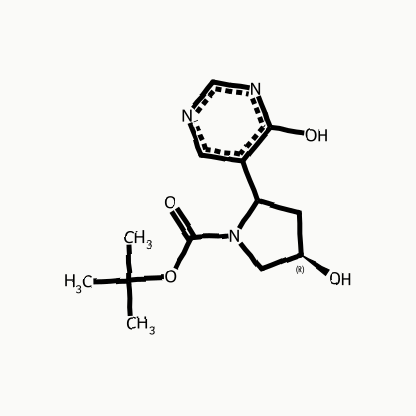 CC(C)(C)OC(=O)N1C[C@H](O)CC1c1cncnc1O